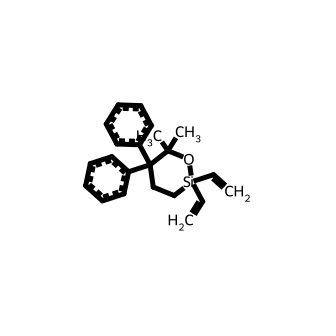 C=C[Si]1(C=C)CCC(c2ccccc2)(c2ccccc2)C(C)(C)O1